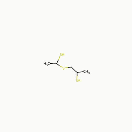 CC(S)CSC(C)S